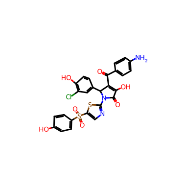 Nc1ccc(C(=O)C2=C(O)C(=O)N(c3ncc(S(=O)(=O)c4ccc(O)cc4)s3)C2c2ccc(O)c(Cl)c2)cc1